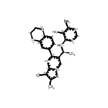 Cc1nn2cc([C@H](C)Nc3ncnc(N)c3C#N)c(-c3ccc4c(c3)OCCO4)nc2c1Cl